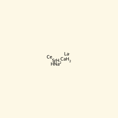 [CaH2].[Ce].[La].[NaH].[SrH2]